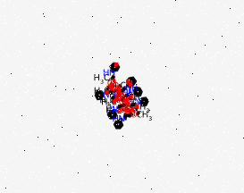 CCO[Si](CCCNc1ccccc1)(OCC)O[Si](CCCNc1ccccc1)(OCC)O[Si](CCCNc1ccccc1)(OCC)O[Si](CCCNc1ccccc1)(OCC)O[Si](CCCNc1ccccc1)(OCC)O[Si](CCCNc1ccccc1)(OCC)O[Si](CCCNc1ccccc1)(OCC)OCC